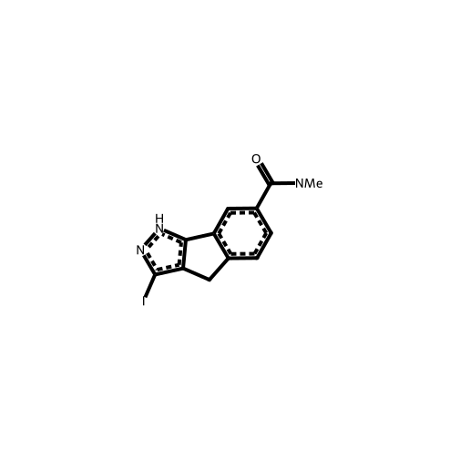 CNC(=O)c1ccc2c(c1)-c1[nH]nc(I)c1C2